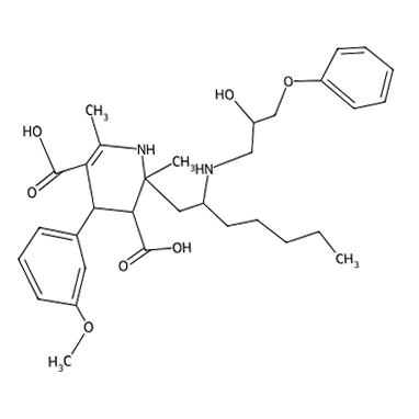 CCCCCC(CC1(C)NC(C)=C(C(=O)O)C(c2cccc(OC)c2)C1C(=O)O)NCC(O)COc1ccccc1